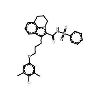 Cc1cc(OCCCc2c(C(=O)NS(=O)(=O)c3ccccc3)n3c4c(cccc24)CCC3)cc(C)c1Cl